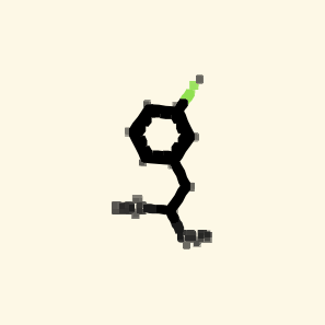 CCOC(=O)C(Cc1cccc(F)c1)C(=O)OCC